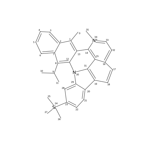 Cc1c2ccccc2c(C(C)C)c2c1c1c3c(ccc4c5ccc([Si](C)(C)C)cc5n2c43)cc[n+]1C